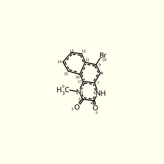 Cn1c(=O)c(=O)[nH]c2cc(Br)c3ccccc3c21